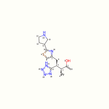 C=C(O)[C@@H](C(C)C)[C@H](Cc1csc(C2CCNC2)n1)c1nnn[nH]1